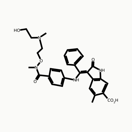 Cc1cc2c(cc1C(=O)O)NC(=O)C2=C(Nc1ccc(C(=O)N(C)OCCN(C)CCO)cc1)c1ccccc1